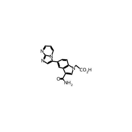 NC(=O)c1cn(CC(=O)O)c2ccc(-c3cnc4ncccn34)cc12